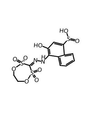 O=S(O)c1cc(O)c(NN=C2S(=O)(=O)OCCOS2(=O)=O)c2ccccc12